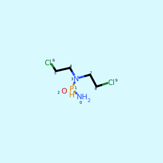 N[PH](=O)N(CCCl)CCCl